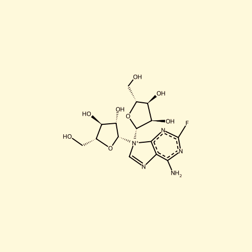 Nc1nc(F)nc2c1N=C[N+]2([C@@H]1O[C@H](CO)[C@@H](O)[C@H]1O)[C@@H]1O[C@H](CO)[C@@H](O)[C@@H]1O